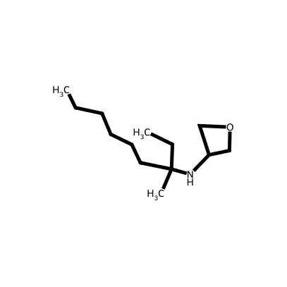 CCCCCCC(C)(CC)NC1COC1